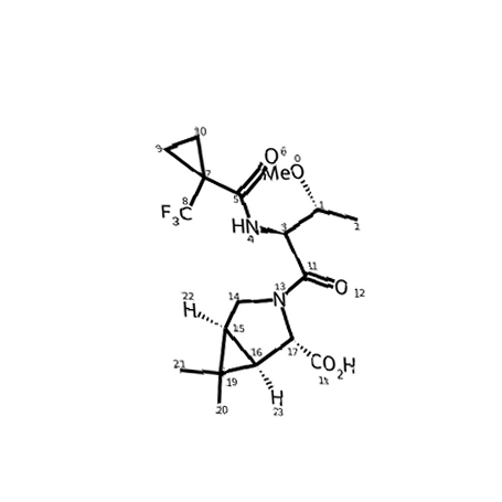 CO[C@H](C)[C@H](NC(=O)C1(C(F)(F)F)CC1)C(=O)N1C[C@H]2[C@@H]([C@H]1C(=O)O)C2(C)C